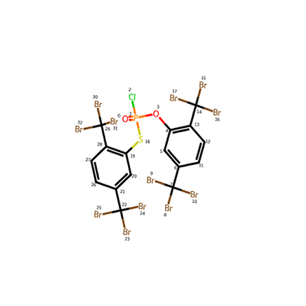 O=P(Cl)(Oc1cc(C(Br)(Br)Br)ccc1C(Br)(Br)Br)Sc1cc(C(Br)(Br)Br)ccc1C(Br)(Br)Br